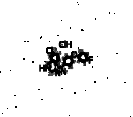 Cl.Fc1ccc(O[C@H]2CC[C@H](c3nnc4n3-c3ccc(Cl)cc3CNC4)CC2)cc1